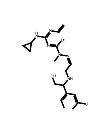 C=C/N=C(\N=C(/CC)N(C)/N=C\CNC(CO)C(/C=C(\C)Cl)=C/C)NC1CC1